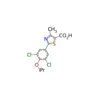 Cc1nc(-c2cc(Cl)c(OC(C)C)c(Cl)c2)sc1C(=O)O